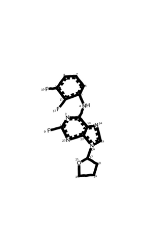 Fc1nc(Nc2cccc(F)c2F)c2ncn(C3CCCO3)c2n1